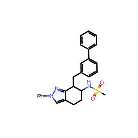 CC(C)n1cc2c(n1)C(Cc1cccc(-c3ccccc3)c1)C(NS(C)(=O)=O)CC2